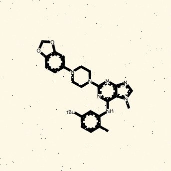 Cc1ccc(C(C)(C)C)cc1Nc1nc(N2CCN(c3ccc4c(c3)OCO4)CC2)nc2ncn(C)c12